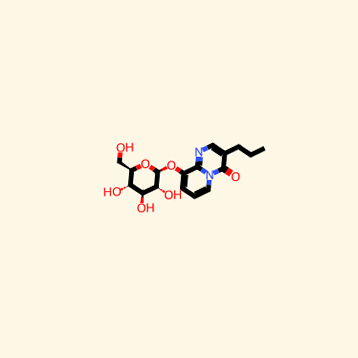 CCCc1cnc2c(O[C@@H]3O[C@H](CO)[C@@H](O)[C@H](O)[C@H]3O)cccn2c1=O